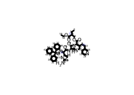 C/C=C(\COC(=O)C1=C(/C=C\c2cccnc2)CS[C@@H]2[C@H](NC(=O)/C(=N/OC(c3ccccc3)(c3ccccc3)c3ccccc3)c3csc(N)n3)C(=O)N12)C(=O)OCC